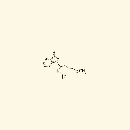 COCCCC(NC1CC1)c1c[nH]c2ccccc12